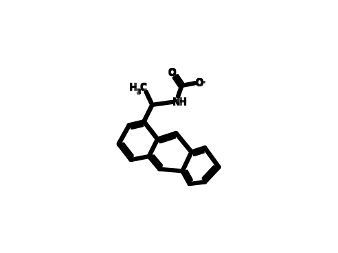 CC(NC([O])=O)c1cccc2cc3ccccc3cc12